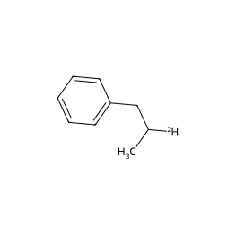 [2H]C(C)Cc1ccccc1